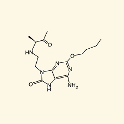 CCCCOc1nc(N)c2[nH]c(=O)n(CCN[C@@H](C)C(C)=O)c2n1